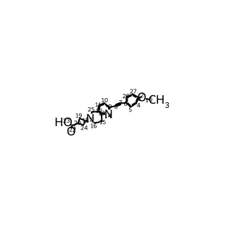 CCOc1ccc(C#Cc2ccc3c(n2)CCN(C2CC(C(=O)O)C2)C3)cc1